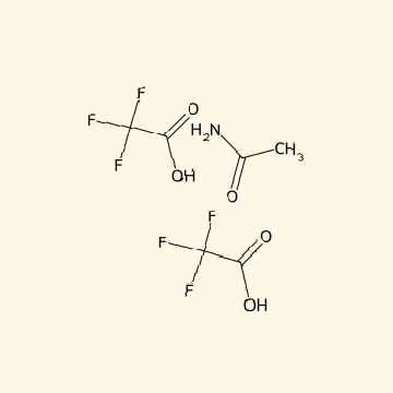 CC(N)=O.O=C(O)C(F)(F)F.O=C(O)C(F)(F)F